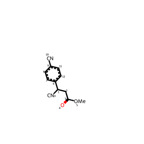 [C-]#[N+]C(CC(=O)OC)c1ccc(C#N)cc1